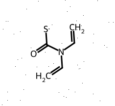 C=CN(C=C)C(=O)[S]